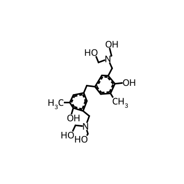 Cc1cc(Cc2cc(C)c(O)c(CN(CO)CO)c2)cc(CN(CO)CO)c1O